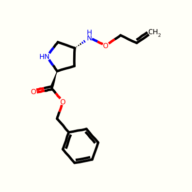 C=CCON[C@H]1CN[C@H](C(=O)OCc2ccccc2)C1